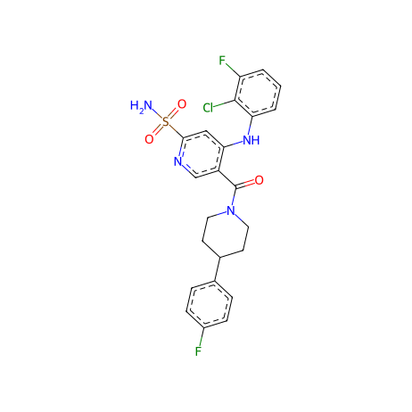 NS(=O)(=O)c1cc(Nc2cccc(F)c2Cl)c(C(=O)N2CCC(c3ccc(F)cc3)CC2)cn1